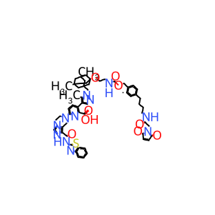 Cc1c(-c2ccc(N3CCn4cnc(C(=O)Nc5nc6ccccc6s5)c4C3)nc2C(=O)O)cnn1CC12CC3(C)CC(C)(C1)CC(OCCNC(=O)OCc1[c]cc(CCCCNC(=O)CN4C(=O)C=CC4=O)cc1)(C3)C2